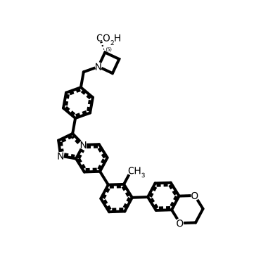 Cc1c(-c2ccc3c(c2)OCCO3)cccc1-c1ccn2c(-c3ccc(CN4CC[C@H]4C(=O)O)cc3)cnc2c1